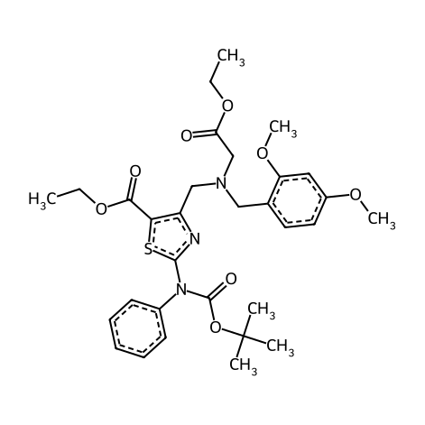 CCOC(=O)CN(Cc1ccc(OC)cc1OC)Cc1nc(N(C(=O)OC(C)(C)C)c2ccccc2)sc1C(=O)OCC